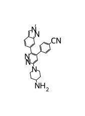 Cn1cc2ccc(-c3nnc(N4CCC(N)CC4)cc3-c3ccc(C#N)cc3)cc2n1